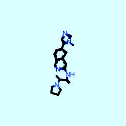 C=C(Nc1cc2cc(-c3cncn3C)ccc2cn1)C(C)N1CCCC1